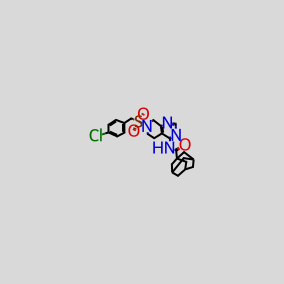 O=C(Nc1ncnc2c1CCN(S(=O)(=O)Cc1ccc(Cl)cc1)C2)C12CC3CC(CC(C3)C1)C2